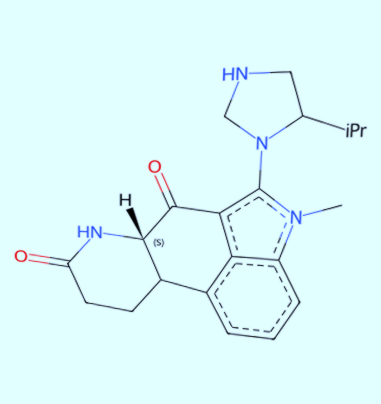 CC(C)C1CNCN1c1c2c3c(cccc3n1C)C1CCC(=O)N[C@@H]1C2=O